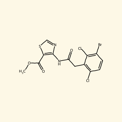 COC(=O)c1scnc1NC(=O)Cc1c(Cl)ccc(Br)c1Cl